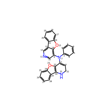 C1=C(N(c2ccccc2)c2cncc3c2oc2ccccc23)c2oc3ccccc3c2NC1